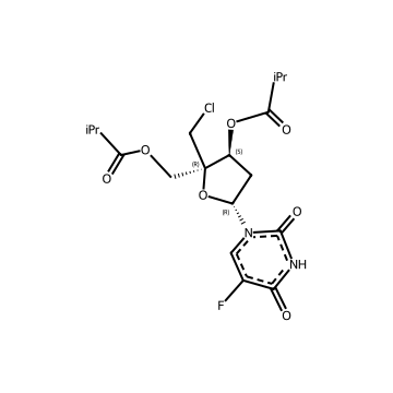 CC(C)C(=O)OC[C@@]1(CCl)O[C@@H](n2cc(F)c(=O)[nH]c2=O)C[C@@H]1OC(=O)C(C)C